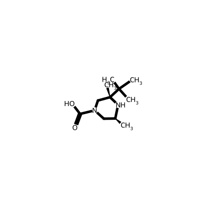 C[C@H]1CN(C(=O)O)C[C@](C)(C(C)(C)C)N1